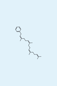 CC(C)=CCCC(C)=CCCC(C)=CCCC(C)=CCc1ccccc1